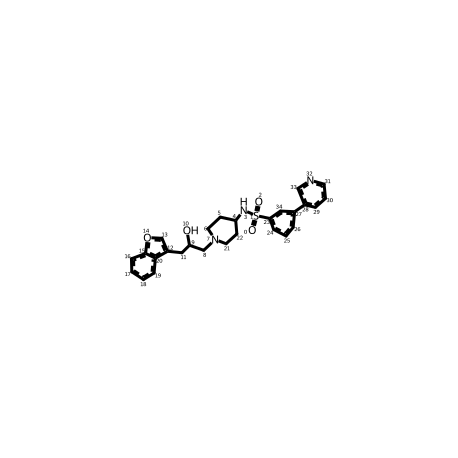 O=S(=O)(NC1CCN(CC(O)Cc2coc3ccccc23)CC1)c1cccc(-c2cccnc2)c1